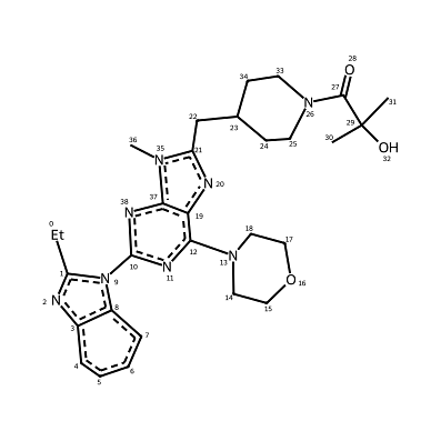 CCc1nc2ccccc2n1-c1nc(N2CCOCC2)c2nc(CC3CCN(C(=O)C(C)(C)O)CC3)n(C)c2n1